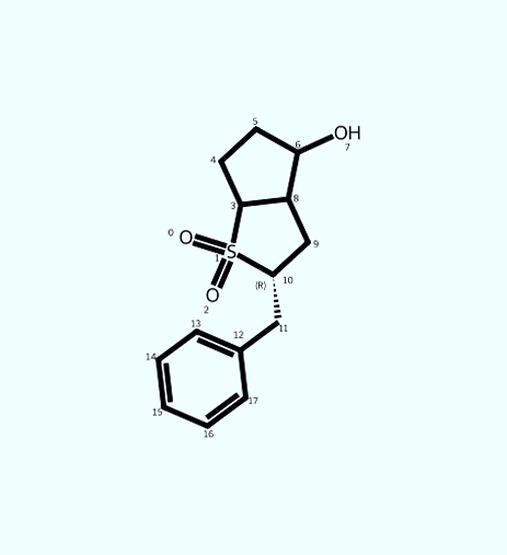 O=S1(=O)C2CCC(O)C2C[C@@H]1Cc1ccccc1